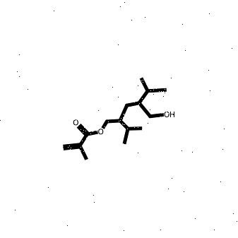 C=C(C)C(=O)OCC(CC(CO)C(C)C)C(C)C